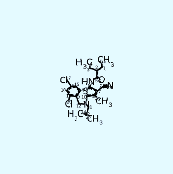 CCC(CC)C(=O)Nc1sc(N(Cc2ccc(Cl)cc2Cl)CC(C)C)c(C)c1C#N